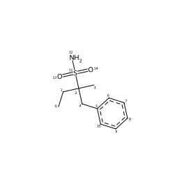 CCC(C)(Cc1ccccc1)S(N)(=O)=O